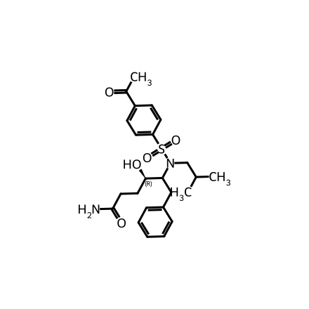 CC(=O)c1ccc(S(=O)(=O)N(CC(C)C)C(Cc2ccccc2)[C@H](O)CCC(N)=O)cc1